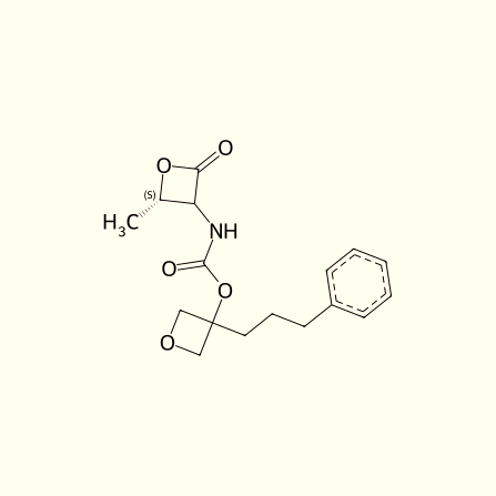 C[C@@H]1OC(=O)C1NC(=O)OC1(CCCc2ccccc2)COC1